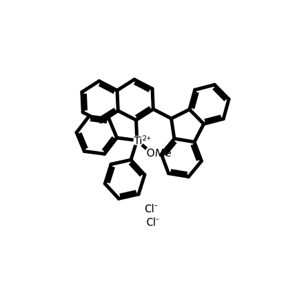 C[O][Ti+2]([c]1ccccc1)([c]1ccccc1)[c]1c(C2c3ccccc3-c3ccccc32)ccc2ccccc12.[Cl-].[Cl-]